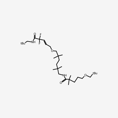 CC(C)(C)CNC(=O)C(F)(F)C=CCOCC(C)(C)CCC(C)(C)CNC(=O)C(C)(C)CCCOCC(C)(C)C